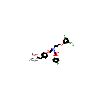 CCOC(Cc1ccc(OCCN(CCCOc2cc(Cl)cc(Cl)c2)C(=O)Oc2ccc(Cl)cc2)cc1)C(=O)O